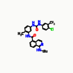 Cc1ccc(NC(=O)Nc2ccc(Cl)c(C(F)(F)F)c2)cc1NC(=O)c1cccc2c(NC(C)(C)C)nccc12